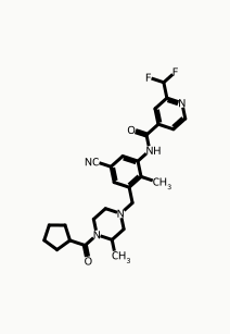 Cc1c(CN2CCN(C(=O)C3CCCC3)C(C)C2)cc(C#N)cc1NC(=O)c1ccnc(C(F)F)c1